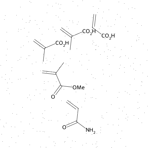 C=C(C)C(=O)O.C=C(C)C(=O)O.C=C(C)C(=O)OC.C=CC(=O)O.C=CC(N)=O